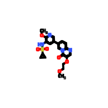 COCCOc1cnc2ccc(-c3cnc(OC)c(NS(=O)(=O)C4CC4)c3)cn2c1=O